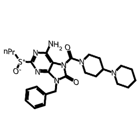 CCC[S+]([O-])c1nc(N)c2c(n1)n(Cc1ccccc1)c(=O)n2C(=O)N1CCC(N2CCCCC2)CC1